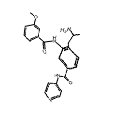 COc1cccc(C(=O)Nc2cc(C(=O)Nc3ccncc3)ccc2C(C)N)c1